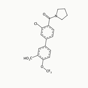 O=C(O)c1cc(-c2ccc(C(=O)N3CCCC3)c(Cl)c2)ccc1OC(F)(F)F